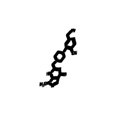 CC(C)Cc1ccc(C#N)c(N2CCN(Cc3nc(=O)c4cnn(C)c4[nH]3)CC2)c1